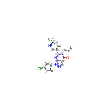 O=c1c2cnn(-c3ccc(Cl)cc3)c2nc(-c2ccc(Cl)nc2)n1CCCl